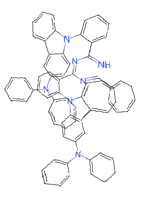 N=C(/N=C(\N=C\C1=CCC=CC=C1)c1ccccc1-n1c2c(c3cc(N(C4=CCCC=C4)c4ccccc4)ccc31)=CCC=CC=2)c1ccccc1-n1c2ccccc2c2cc(N(C3=CC=CCC=C3)c3ccccc3)ccc21